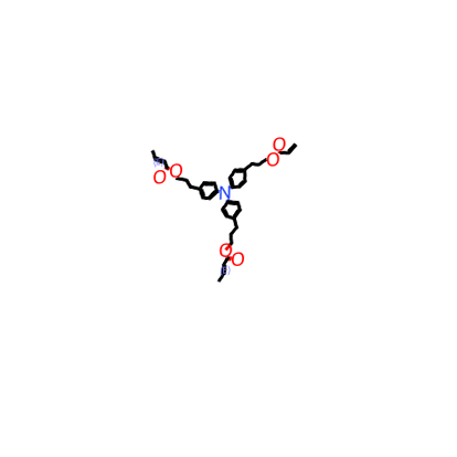 C=CC(=O)OCCCc1ccc(N(c2ccc(CCCOC(=O)/C=C/C)cc2)c2ccc(CCCOC(=O)/C=C/C)cc2)cc1